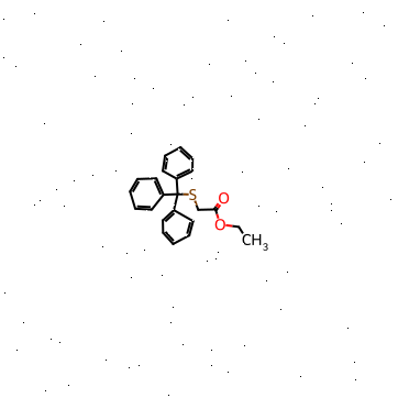 CCOC(=O)CSC(c1ccccc1)(c1ccccc1)c1ccccc1